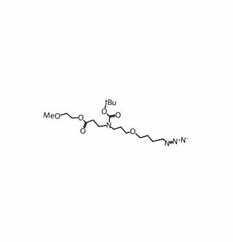 COCCOC(=O)CCN(CCCOCCCCN=[N+]=[N-])C(=O)OC(C)(C)C